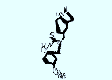 COc1cccc(CN(Cc2ccc3[nH]ncc3c2)C(N)=S)c1